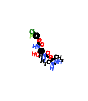 CC1NCNC(C)C1OCC(=O)NC12CCC(NC(=O)COc3ccc(Cl)c(F)c3)(CC1)C[C@@H]2O